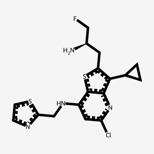 N[C@@H](CF)Cc1sc2c(NCc3nccs3)cc(Cl)nc2c1C1CC1